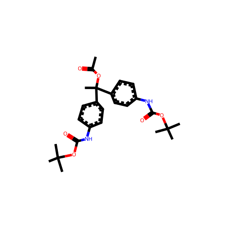 CC(=O)OC(C)(c1ccc(NC(=O)OC(C)(C)C)cc1)c1ccc(NC(=O)OC(C)(C)C)cc1